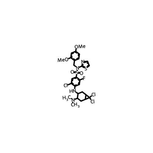 COc1ccc(CN(c2nccs2)S(=O)(=O)c2cc(Cl)c(NC3CC4C(CC3N(C)C)C4(Cl)Cl)cc2F)c(OC)c1